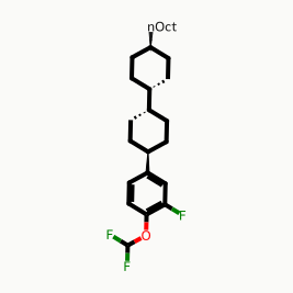 CCCCCCCC[C@H]1CC[C@H]([C@H]2CC[C@H](c3ccc(OC(F)F)c(F)c3)CC2)CC1